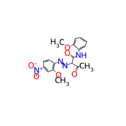 COc1cc([N+](=O)[O-])ccc1N=NC(C(C)=O)C(=O)Nc1ccccc1OC